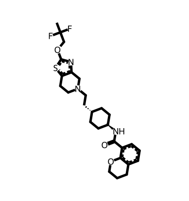 CC(F)(F)COc1nc2c(s1)CCN(CC[C@H]1CC[C@H](NC(=O)c3cccc4c3OCCC4)CC1)C2